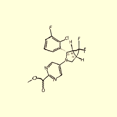 COC(=O)c1ncc(N2C[C@@H]3[C@H]([C@H]2c2cccc(F)c2Cl)C3(F)F)cn1